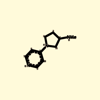 CNC1CCN(c2ccncc2)C1